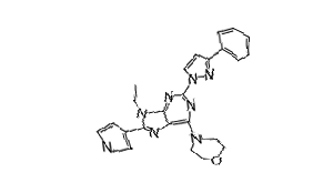 CCn1c(-c2ccncc2)nc2c(N3CCOCC3)nc(-n3ccc(-c4ccccc4)n3)nc21